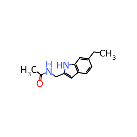 CCc1ccc2cc(CNC(C)=O)[nH]c2c1